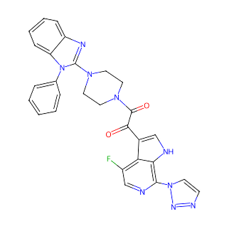 O=C(C(=O)N1CCN(c2nc3ccccc3n2-c2ccccc2)CC1)c1c[nH]c2c(-n3ccnn3)ncc(F)c12